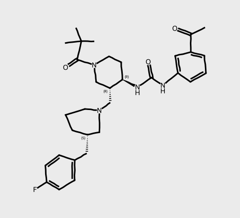 CC(=O)c1cccc(NC(=O)N[C@@H]2CCN(C(=O)C(C)(C)C)C[C@H]2CN2CCC[C@@H](Cc3ccc(F)cc3)C2)c1